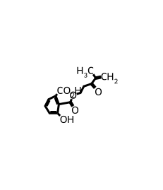 C=C(C)C(=O)CCOC(=O)c1c(O)cccc1C(=O)O